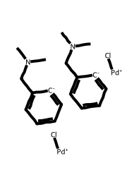 CN(C)Cc1[c-]cccc1.CN(C)Cc1[c-]cccc1.[Cl][Pd+].[Cl][Pd+]